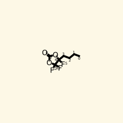 CCCCC1(F)OC(=O)OC1(F)F